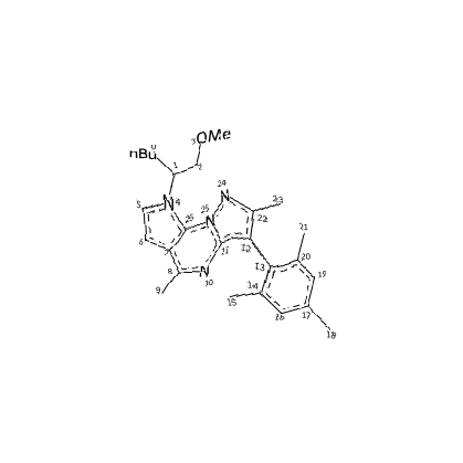 CCCCC(COC)n1ccc2c(C)nc3c(-c4c(C)cc(C)cc4C)c(C)nn3c21